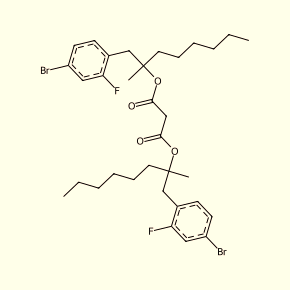 CCCCCCC(C)(Cc1ccc(Br)cc1F)OC(=O)CC(=O)OC(C)(CCCCCC)Cc1ccc(Br)cc1F